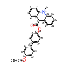 CN1c2ccccc2C(C(=O)Oc2ccc(-c3ccc(OC=O)cc3)cc2)c2ccccc21